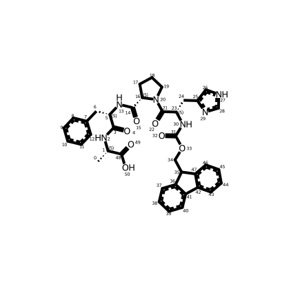 C[C@H](NC(=O)[C@H](Cc1ccccc1)NC(=O)[C@@H]1CCCN1C(=O)[C@H](Cc1c[nH]cn1)NC(=O)OCC1c2ccccc2-c2ccccc21)C(=O)O